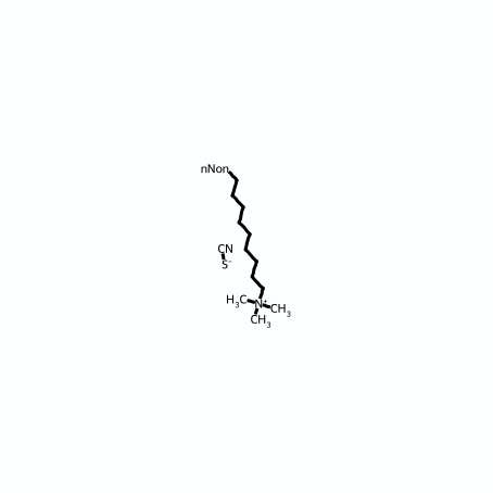 CCCCCCCCCCCCCCCCCC[N+](C)(C)C.N#C[S-]